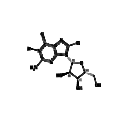 Nc1nc2c(nc(Cl)n2[C@@H]2O[C@H](CO)[C@@H](O)[C@H]2O)c(=O)n1Br